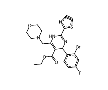 CCOC(=O)C1=C(CN2CCOCC2)NC(c2nc#cs2)=NC1c1ccc(F)cc1Br